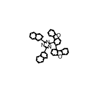 c1ccc2cc(-c3nc(-c4ccc5ccccc5c4)nc(-c4c(-c5cccc6oc7ccccc7c56)ccc5oc6ccccc6c45)n3)ccc2c1